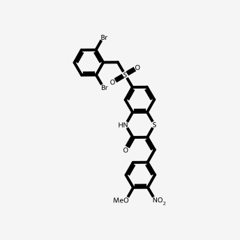 COc1ccc(C=C2Sc3ccc(S(=O)(=O)Cc4c(Br)cccc4Br)cc3NC2=O)cc1[N+](=O)[O-]